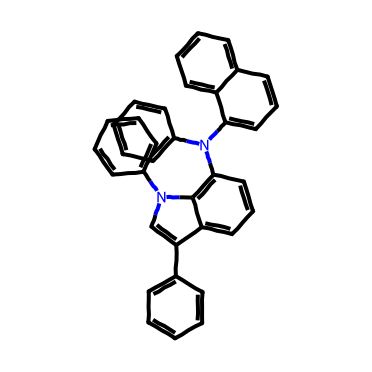 c1ccc(-c2cn(-c3ccccc3)c3c(N(c4ccccc4)c4cccc5ccccc45)cccc23)cc1